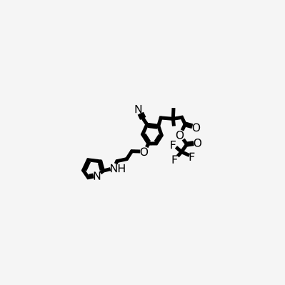 CC(C)(CC(=O)OC(=O)C(F)(F)F)Cc1ccc(OCCCNc2ccccn2)cc1C#N